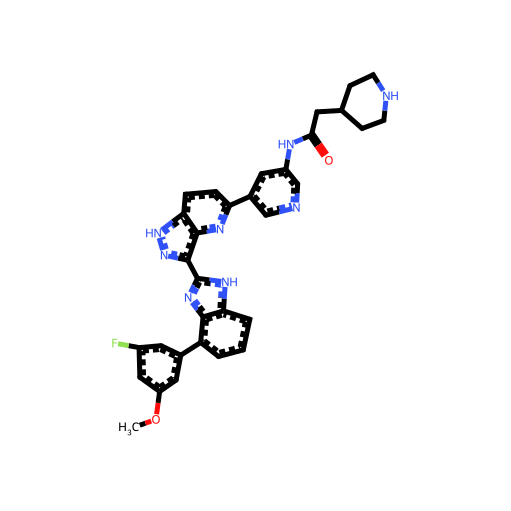 COc1cc(F)cc(-c2cccc3[nH]c(-c4n[nH]c5ccc(-c6cncc(NC(=O)CC7CCNCC7)c6)nc45)nc23)c1